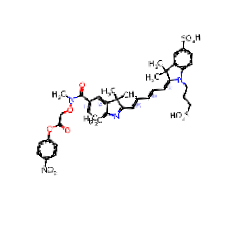 C=C1N=C(/C=C/C=C/C=C2/N(CCCS(=O)(=O)O)c3ccc(S(=O)(=O)O)cc3C2(C)C)C(C)(C)/C1=C/C(=C\C)C(=O)N(C)OCC(=O)Oc1ccc([N+](=O)[O-])cc1